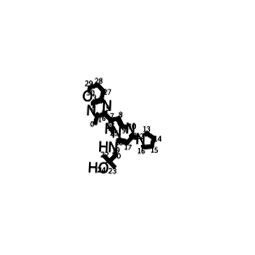 Cc1nc2c(nc1-c1cc3nc(N4CCCC4)cc(NCC(C)(C)O)n3n1)CCCO2